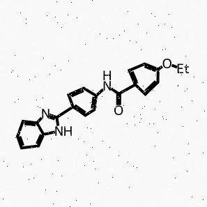 CCOc1ccc(C(=O)Nc2ccc(-c3nc4ccccc4[nH]3)cc2)cc1